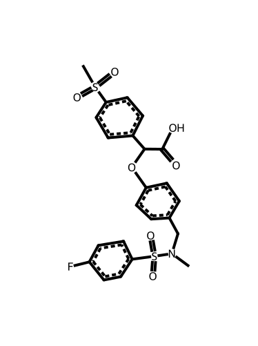 CN(Cc1ccc(OC(C(=O)O)c2ccc(S(C)(=O)=O)cc2)cc1)S(=O)(=O)c1ccc(F)cc1